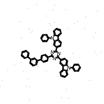 c1ccc(-c2cccc(-c3ccc(-c4nc(-c5ccc6c(c5)c5ccccc5n6-c5ccccc5)nc(-c5ccc6c7ccccc7n(-c7ccccc7)c6c5)n4)cc3)c2)cc1